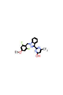 CCOc1cc(F)c(Cn2nc(-c3nc(O)cc(C(F)(F)F)n3)c3ccccc32)c(F)c1